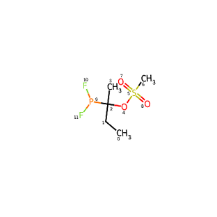 CCC(C)(OS(C)(=O)=O)P(F)F